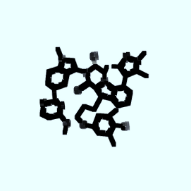 COc1ccnc(-c2ccc3c(c2)c(N2C(=O)c4c(CCCOc5cc(C)c(Cl)c(C)c5)c5cccc(-c6c(C)nn(C)c6C)c5n4C(C)[C@H]2Cl)cn3C)n1